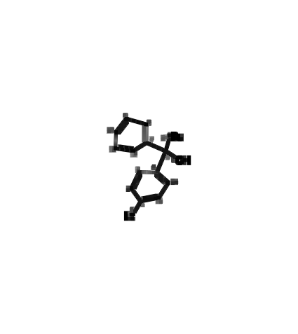 CCc1ccc(C(O)(c2ccccc2)C(C)(C)C)cc1